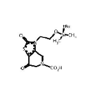 CC(C)(C)[Si](C)(C)OCCn1c2c(sc1=O)C(=O)CN(C(=O)O)C2